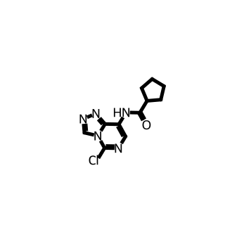 O=C(Nc1cnc(Cl)n2cnnc12)C1CCCC1